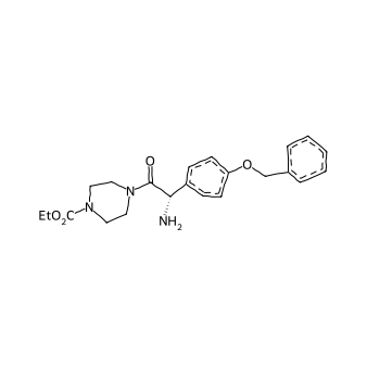 CCOC(=O)N1CCN(C(=O)[C@@H](N)c2ccc(OCc3ccccc3)cc2)CC1